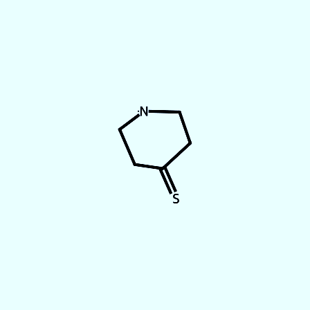 S=C1CC[N]CC1